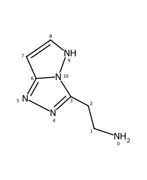 NCCc1nnc2cc[nH]n12